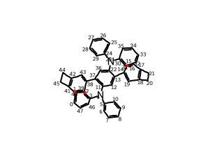 c1ccc(N(c2ccccc2)c2cc(-c3ccc4c(c3)CC4)c(N(c3ccccc3)c3ccccc3)cc2-c2ccc3c(c2)CC3)cc1